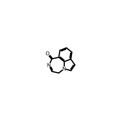 O=C1N=CCn2ccc3cccc1c32